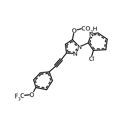 O=C(O)Oc1cc(C#Cc2ccc(OC(F)(F)F)cc2)nn1-c1ncccc1Cl